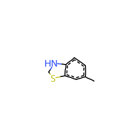 Cc1ccc2c(c1)SCN2